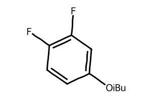 [CH2]C(C)COc1ccc(F)c(F)c1